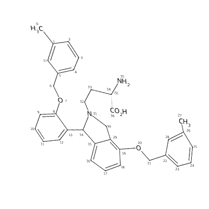 Cc1cccc(COc2ccccc2C2c3cccc(OCc4cccc(C)c4)c3CN2CC[C@H](N)C(=O)O)c1